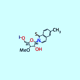 COC1C(O)[C@H](n2ccc3cc(C)ccc3c2=S)O[C@@H]1COI